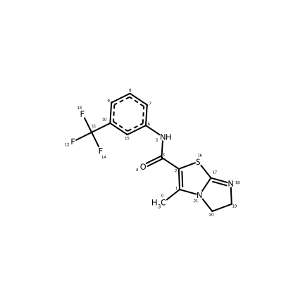 CC1=C(C(=O)Nc2cccc(C(F)(F)F)c2)SC2=NCCN21